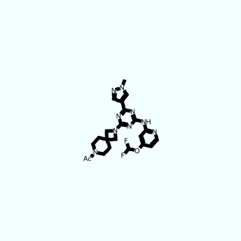 CC(=O)N1CCC2(CC1)CN(c1nc(Nc3cc(OC(F)F)ccn3)nc(-c3cnn(C)c3)n1)C2